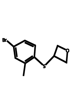 Cc1cc(Br)ccc1SC1COC1